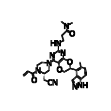 C=CC(=O)N1CCN(c2nc(NCCC(=O)N(C)C)nc3c2OCC(c2c(C)ccc4[nH]ncc24)O3)C[C@@H]1CC#N